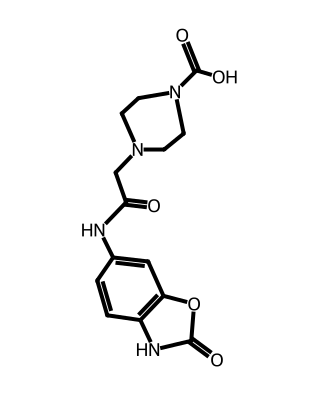 O=C(CN1CCN(C(=O)O)CC1)Nc1ccc2[nH]c(=O)oc2c1